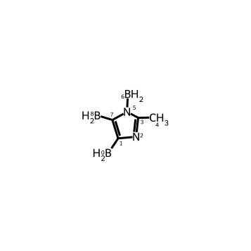 Bc1nc(C)n(B)c1B